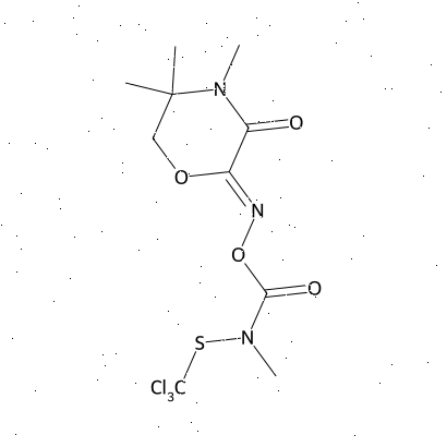 CN(SC(Cl)(Cl)Cl)C(=O)ON=C1OCC(C)(C)N(C)C1=O